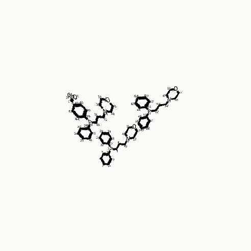 [C]=O.[Rh].c1ccc(P(CCCN2CCOCC2)c2ccccc2)cc1.c1ccc(P(CCCN2CCOCC2)c2ccccc2)cc1.c1ccc(P(CCCN2CCOCC2)c2ccccc2)cc1